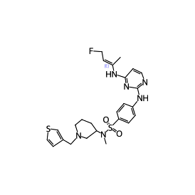 C/C(=C\CF)Nc1ccnc(Nc2ccc(S(=O)(=O)N(C)C3CCCN(Cc4ccsc4)C3)cc2)n1